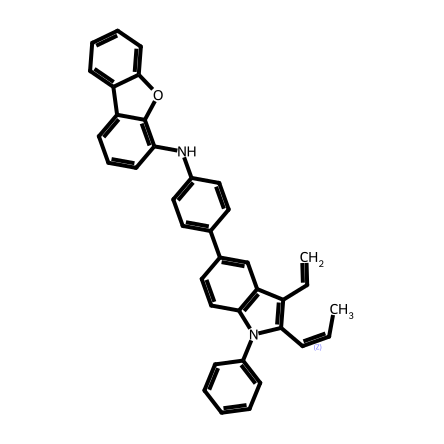 C=Cc1c(/C=C\C)n(-c2ccccc2)c2ccc(-c3ccc(Nc4cccc5c4oc4ccccc45)cc3)cc12